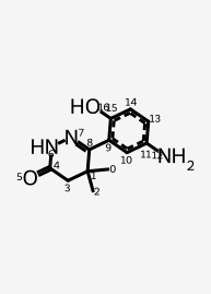 CC1(C)CC(=O)NN=C1c1cc(N)ccc1O